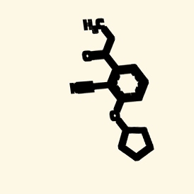 CCC(=O)c1cccc(OC2CCCC2)c1C#N